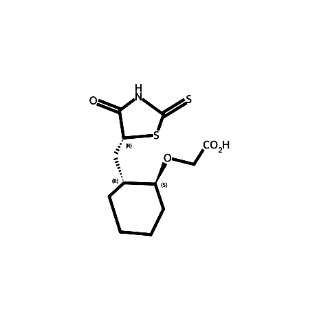 O=C(O)CO[C@H]1CCCC[C@@H]1C[C@H]1SC(=S)NC1=O